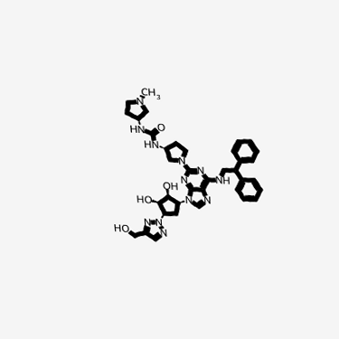 CN1CC[C@@H](NC(=O)N[C@@H]2CCN(c3nc(NCC(c4ccccc4)c4ccccc4)c4ncn([C@@H]5C[C@H](n6ncc(CO)n6)[C@@H](O)[C@H]5O)c4n3)C2)C1